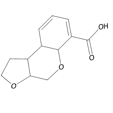 O=C(O)C1=CC=CC2C1OCC1OCCC12